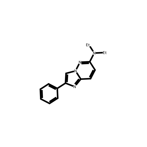 CCN(CC)c1ccc2nc(-c3ccccc3)cn2n1